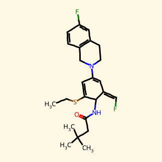 CCSC1=CC(N2CCc3cc(F)ccc3C2)=CC(=CF)C1NC(=O)CC(C)(C)C